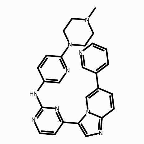 CN1CCN(c2ccc(Nc3nccc(-c4cnc5ccc(-c6cccnc6)cn45)n3)cn2)CC1